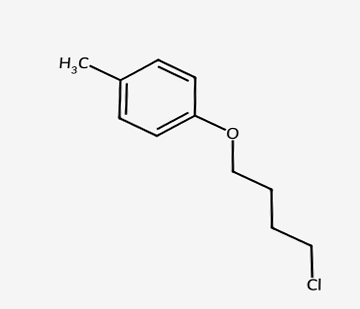 Cc1ccc(OCCCCCl)cc1